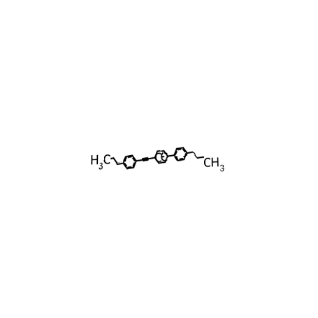 CCCCc1ccc(C23CCC(C#Cc4ccc(CCC)cc4)(CC2)CC3)cc1